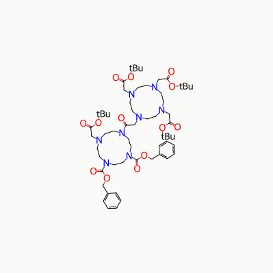 CC(C)(C)OC(=O)CN1CCN(CC(=O)OC(C)(C)C)CCN(CC(=O)N2CCN(CC(=O)OC(C)(C)C)CCN(C(=O)OCc3ccccc3)CCN(C(=O)OCc3ccccc3)CC2)CCN(CC(=O)OC(C)(C)C)CC1